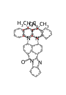 CC1(C)c2ccccc2N(c2ccc3c(=O)n4c5ccccc5nc4c4ccc(N5c6ccccc6C(C)(C)c6ccccc65)c2c34)c2ccccc21